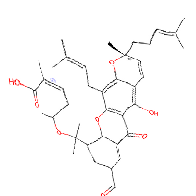 CC(C)=CCC[C@]1(C)C=Cc2c(O)c3c(c(CC=C(C)C)c2O1)OC1C(=CC(C=O)CC1C(C)(C)OC(C)C/C=C(/C)C(=O)O)C3=O